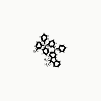 CC1(C)c2ccccc2-c2cc(N(c3ccccc3)c3cccc([Si](c4ccccc4)(c4ccccc4)c4cccc(Br)c4)c3)ccc21